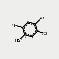 Fc1cc(F)c(Cl)cc1S